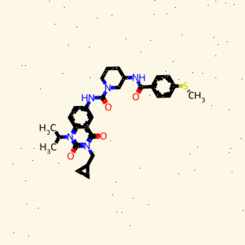 CSc1ccc(C(=O)NC2CCCN(C(=O)Nc3ccc4c(c3)c(=O)n(CC3CC3)c(=O)n4C(C)C)C2)cc1